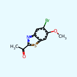 COc1cc2sc(C(C)=O)nc2cc1Br